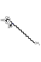 C=C(COC/C(=C/CCCCCCCCCCCCCCCCCC)C(=O)O)C(=O)O